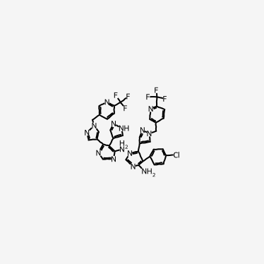 Nc1ncnc(-c2cnn(Cc3ccc(C(F)(F)F)nc3)c2)c1-c1ccc(Cl)cc1.Nc1ncnc(-c2cnn(Cc3ccc(C(F)(F)F)nc3)c2)c1-c1cn[nH]c1